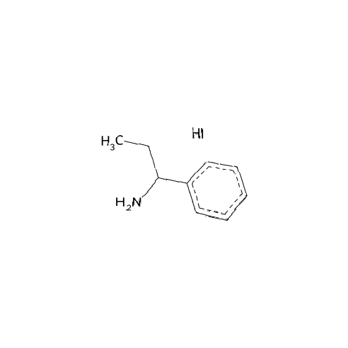 CCC(N)c1ccccc1.I